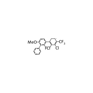 COc1ccc(C2=C(Cl)C(Cl)=C(C(F)(F)F)[CH]C2)c(F)c1-c1ccccc1